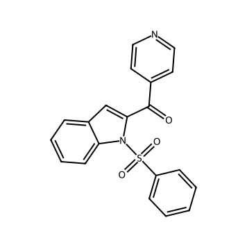 O=C(c1ccncc1)c1cc2ccccc2n1S(=O)(=O)c1ccccc1